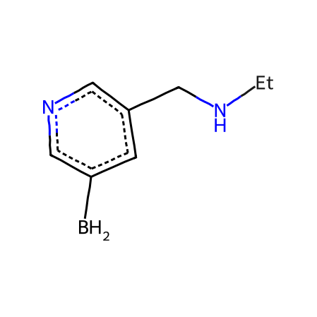 Bc1cncc(CNCC)c1